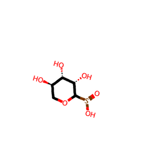 O=S(O)C1OC[C@@H](O)[C@H](O)[C@@H]1O